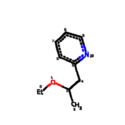 CCOC(C)[CH]c1ccccn1